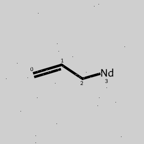 C=C[CH2][Nd]